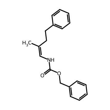 CC(=CNC(=O)OCc1ccccc1)CCc1ccccc1